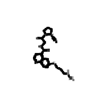 BNCCCOc1ccc2nccc(C(=O)NCC(=O)N3CCC[C@H]3C#N)c2c1